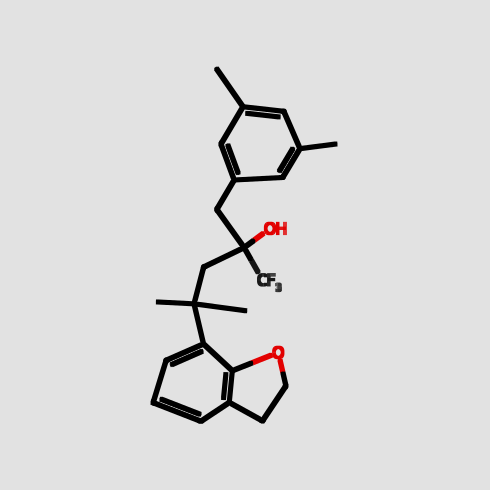 Cc1cc(C)cc(CC(O)(CC(C)(C)c2cccc3c2OCC3)C(F)(F)F)c1